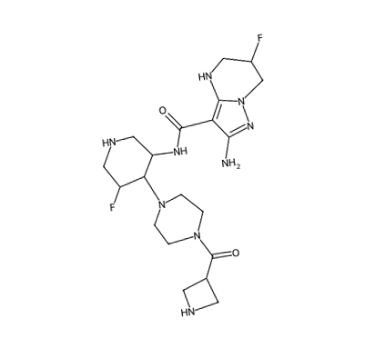 Nc1nn2c(c1C(=O)NC1CNCC(F)C1N1CCN(C(=O)C3CNC3)CC1)NCC(F)C2